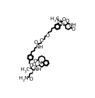 C[C@@H](OCc1ccc(CCCNC(=O)COCCOCCCc2ccc3c(c2)n(C)c(=O)n3C2CCC(=O)NC2=O)cc1)[C@H](CCC(N)=O)NC(=O)[C@@H]1Cc2cccc3c2N1C(=O)CCC3